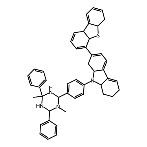 CN1C(c2ccccc2)NC(C)(c2ccccc2)NC1c1ccc(N2C3CCCC=C3C3=CC=C(C4=CC=CC5C6=CC=CCC6SC45)CC32)cc1